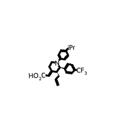 C=CC[C@@H]1C(=CC(=O)O)CCN(c2ccc(C(C)C)cc2)[C@H]1c1ccc(C(F)(F)F)cc1